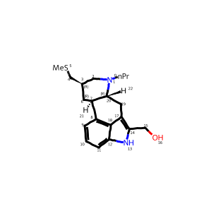 CCCN1C[C@H](CSC)C[C@@H]2c3cccc4[nH]c(CO)c(c34)C[C@H]21